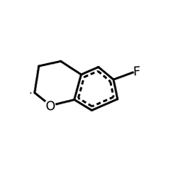 Fc1ccc2c(c1)CC[CH]O2